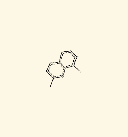 Cc1ccc2cc[c]c(F)c2n1